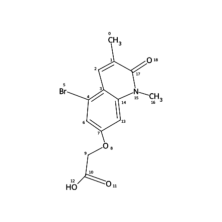 Cc1cc2c(Br)cc(OCC(=O)O)cc2n(C)c1=O